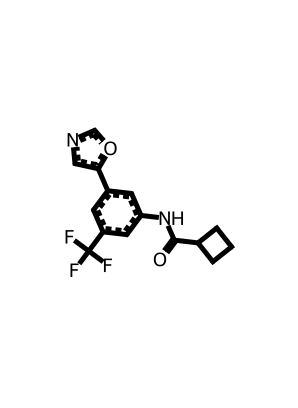 O=C(Nc1cc(-c2cnco2)cc(C(F)(F)F)c1)C1CCC1